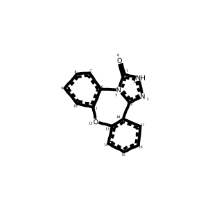 O=c1[nH]nc2n1-c1ccccc1Oc1ccccc1-2